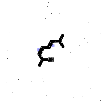 CC(S)/C=C\C=C\C(C)C